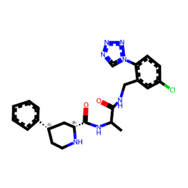 CC(NC(=O)[C@H]1C[C@@H](c2ccccc2)CCN1)C(=O)NCc1cc(Cl)ccc1-n1cnnn1